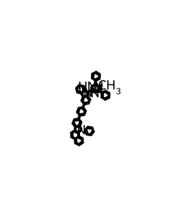 CN1C(c2ccccc2)=NC(n2c3ccccc3c3cc(-c4ccc(-c5ccc6c7ccc8ccccc8c7n(-c7ccccc7)c6c5)cc4)ccc32)NC1c1ccccc1